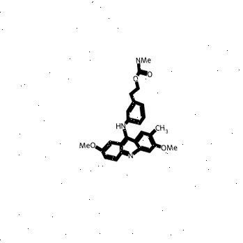 CNC(=O)OCCc1cccc(Nc2c3cc(OC)ccc3nc3cc(OC)c(C)cc23)c1